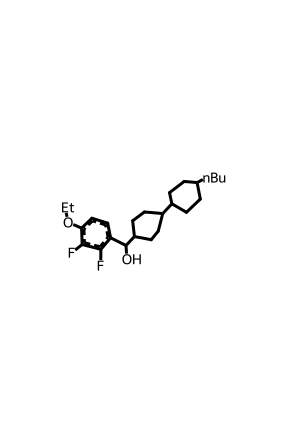 CCCCC1CCC(C2CCC(C(O)c3ccc(OCC)c(F)c3F)CC2)CC1